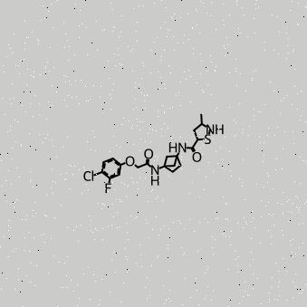 CC1CC(C(=O)NC23CCC(NC(=O)COc4ccc(Cl)c(F)c4)(C2)C3)SN1